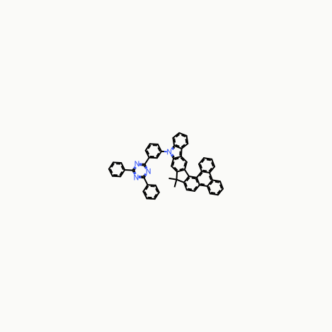 CC1(C)c2cc3c(cc2-c2c1ccc1c4ccccc4c4ccccc4c21)c1ccccc1n3-c1cccc(-c2nc(-c3ccccc3)nc(-c3ccccc3)n2)c1